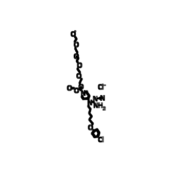 COCCOCCOCCOCCOCCOC(OC=O)[n+]1ccc(N(CCCCCCOc2ccc(Cl)cc2)C(N)=NC#N)cc1.[Cl-]